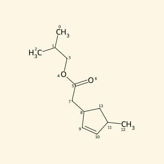 CC(C)COC(=O)CC1C=CC(C)C1